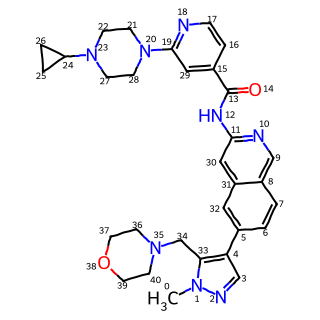 Cn1ncc(-c2ccc3cnc(NC(=O)c4ccnc(N5CCN(C6CC6)CC5)c4)cc3c2)c1CN1CCOCC1